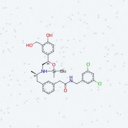 C[C@H](Cc1cccc(CC(=O)NCc2cc(Cl)cc(Cl)c2)c1)NC[C@H](O[Si](C)(C)C(C)(C)C)c1ccc(O)c(CO)c1